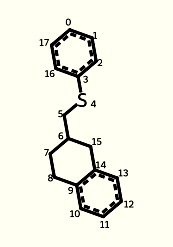 c1ccc(SCC2CCc3ccccc3C2)cc1